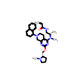 C=CC(=O)NC[C@H](C)N(C)c1nc(OC[C@@H]2CCCN2C)nc2c1CCN(c1cccc3ccccc13)C2